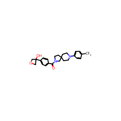 O=C(c1ccc(C2(O)COC2)cc1)N1CCC2(CCN(c3ccc(C(F)(F)F)cc3)CC2)C1